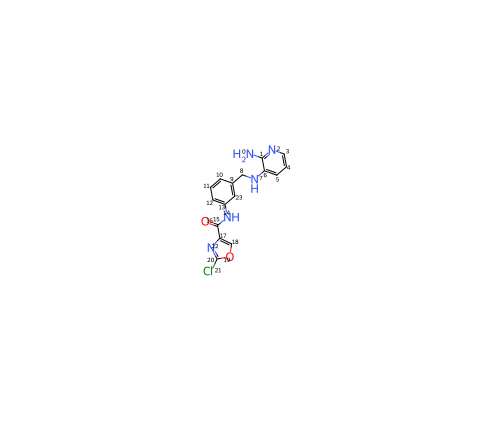 Nc1ncccc1NCc1cccc(NC(=O)c2coc(Cl)n2)c1